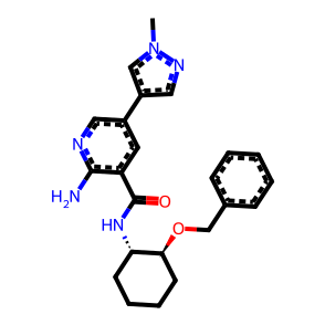 Cn1cc(-c2cnc(N)c(C(=O)N[C@H]3CCCC[C@@H]3OCc3ccccc3)c2)cn1